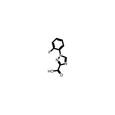 O=C(O)c1ncn(-c2ccccc2F)n1